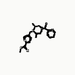 COC(=O)c1ccc(CN2[C@H](C)CN(C(=O)c3ccccn3)C[C@@H]2C)cc1